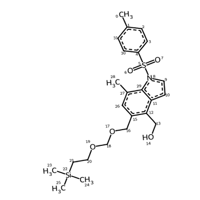 Cc1ccc(S(=O)(=O)n2ccc3c(CO)c(COCOCC[Si](C)(C)C)cc(C)c32)cc1